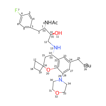 CC(=O)N[C@@H](Cc1ccc(F)cc1)[C@@H](O)CN[C@H]1CC2(CCC2)Oc2c1cc(CC(C)(C)C)cc2N1CCOCC1